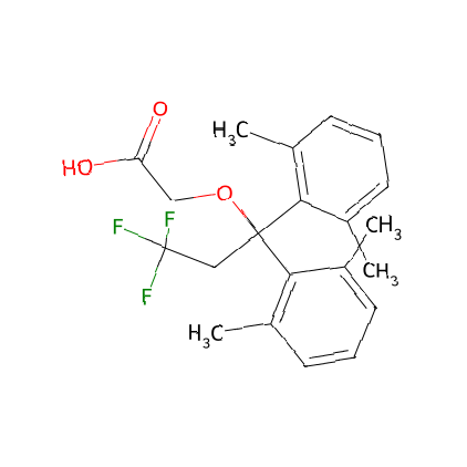 Cc1cccc(C)c1C(CC(F)(F)F)(OCC(=O)O)c1c(C)cccc1C